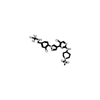 [2H]C([2H])([2H])NCc1ccc(-n2cc(-c3nc(NC4CCN(S(C)(=O)=O)CC4)ncc3Cl)cn2)c(Cl)c1